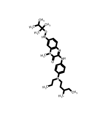 CCCN(CCC(C)CC)c1ccc(Nc2nc3ccc(BOC(C)(C)C(C)C)cc3n(C)c2=O)cc1